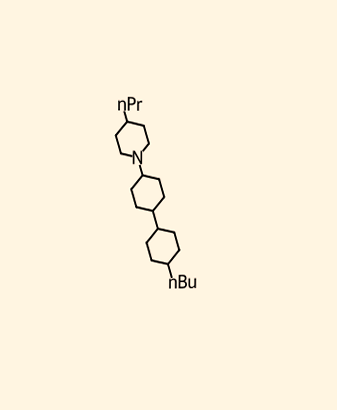 CCCCC1CCC(C2CCC(N3CCC(CCC)CC3)CC2)CC1